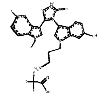 Cn1cc(-c2n[nH]c(=O)n2-c2cn(CCCN)c3cc(O)ccc23)c2cc(F)ccc21.O=C(O)C(F)(F)F